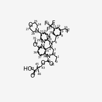 CC[C@@H]1C[C@H](N(Cc2cc(CF)cc(C(F)(F)F)c2)c2ncc(N3CCOCC3)cn2)c2nc(OC)ccc2N1C(=O)OCC(C)(C)C(=O)O